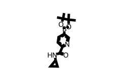 CC1(C)OB(c2ccc(C(=O)NC3CC3)nc2)OC1(C)C